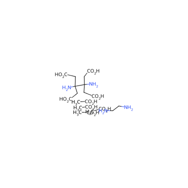 CC(=O)O.CC(=O)O.CC(=O)O.CC(=O)O.NC(CC(=O)O)(CC(=O)O)C(N)(CC(=O)O)CC(=O)O.NCCN